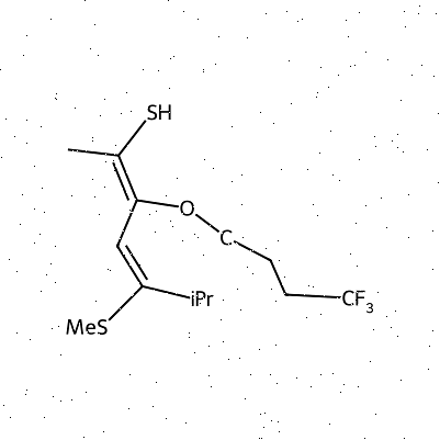 CSC(=C/C(OCCCC(F)(F)F)=C(\C)S)C(C)C